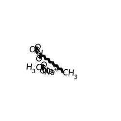 CC(=O)[O-].CCCCCCCCCCCC(=O)N=CC(=O)[O-].[Na+].[Na+]